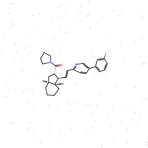 O=C([C@H]1C[C@H]2CCCC[C@H]2[C@@H]1C=Cc1ccc(-c2cccc(F)c2)cn1)N1CCCC1